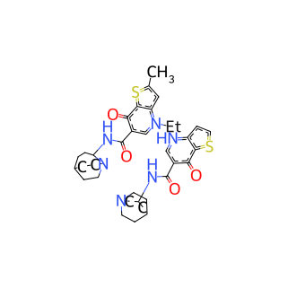 CCn1cc(C(=O)NC2CCC3CCN2CC3)c(=O)c2sc(C)cc21.O=C(NC1CC2CCN(CC2)C1)c1c[nH]c2ccsc2c1=O